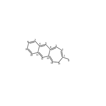 CC1=CC=c2cc3ccccc3cc2=CC1